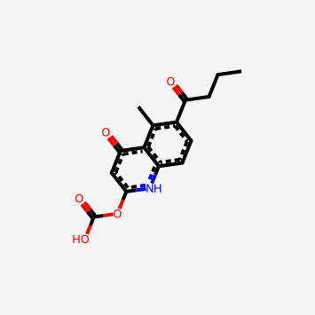 CCCC(=O)c1ccc2[nH]c(OC(=O)O)cc(=O)c2c1C